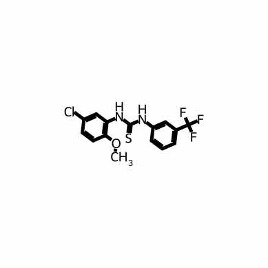 COc1ccc(Cl)cc1NC(=S)Nc1cccc(C(F)(F)F)c1